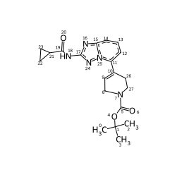 CC(C)(C)OC(=O)N1CC=C(c2cccc3nc(NC(=O)C4CC4)nn23)CC1